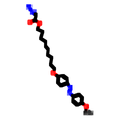 CCCCOc1ccc(/N=N/c2ccc(OCCCCCCCCCCOC(=O)C=[N+]=[N-])cc2)cc1